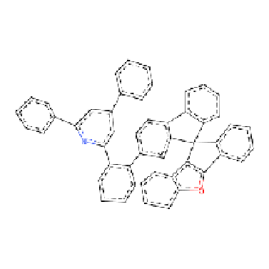 c1ccc(-c2cc(-c3ccccc3)nc(-c3ccccc3-c3ccc4c(c3)C3(c5ccccc5-4)c4ccccc4-c4oc5ccccc5c43)c2)cc1